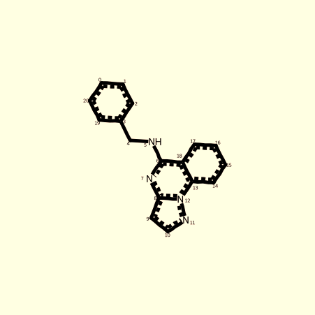 c1ccc(CNc2nc3ccnn3c3ccccc23)cc1